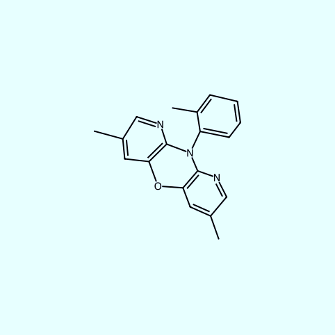 Cc1cnc2c(c1)Oc1cc(C)cnc1N2c1ccccc1C